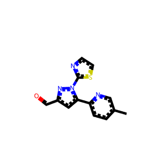 Cc1ccc(-c2cc(C=O)nn2-c2nccs2)nc1